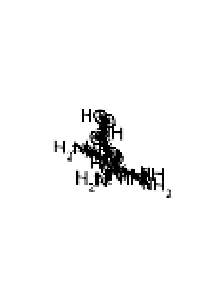 N=C(N)NCCC[C@H](NC(=O)CN)C(=O)N[C@@H](CCCCN)C(=O)NCC(=O)NCC(=O)O